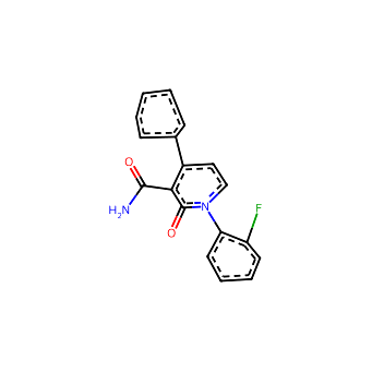 NC(=O)c1c(-c2ccccc2)ccn(-c2ccccc2F)c1=O